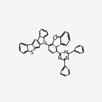 c1ccc(-c2nc(-c3ccccc3)nc(-c3ccc(-n4c5ccccc5c5cc6c(cc54)sc4ccccc46)c4oc5ccccc5c34)n2)cc1